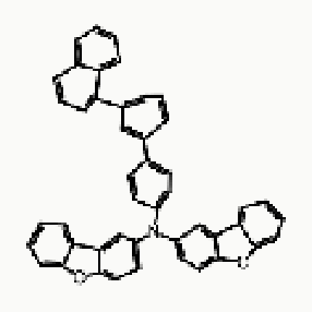 c1cc(-c2ccc(N(c3ccc4oc5ccccc5c4c3)c3ccc4oc5ccccc5c4c3)cc2)cc(-c2cccc3ccccc23)c1